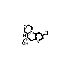 OC[C@@H]1Cc2ncc(Cl)cc2N2CCOC[C@H]12